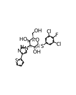 OC[C@H]1O[C@H](Sc2cc(Cl)c(F)c(Cl)c2)[C@H](O)[C@@H](n2cc(-c3cccs3)nn2)[C@H]1O